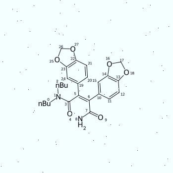 CCCCN(CCCC)C(=O)C(=C(C(N)=O)c1ccc2c(c1)OCO2)c1ccc2c(c1)OCO2